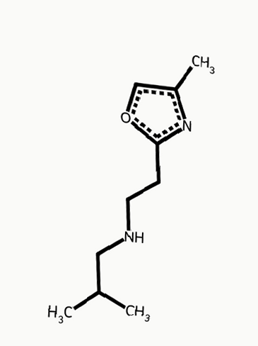 Cc1coc(CCNCC(C)C)n1